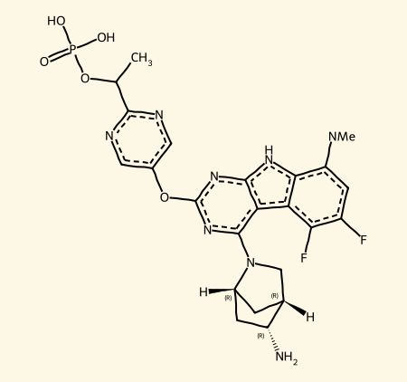 CNc1cc(F)c(F)c2c1[nH]c1nc(Oc3cnc(C(C)OP(=O)(O)O)nc3)nc(N3C[C@H]4C[C@@H]3C[C@H]4N)c12